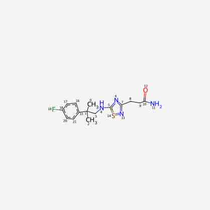 CC(C)(CNc1nc(CCC(N)=O)ns1)c1ccc(F)cc1